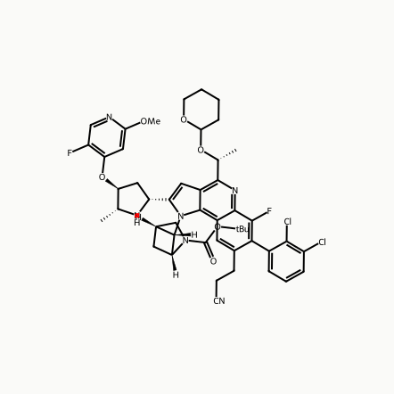 COc1cc(O[C@H]2C[C@H](c3cc4c([C@@H](C)OC5CCCCO5)nc5c(F)c(-c6cccc(Cl)c6Cl)c(CCC#N)cc5c4n3[C@H]3[C@@H]4C[C@H]3N(C(=O)OC(C)(C)C)C4)N[C@@H]2C)c(F)cn1